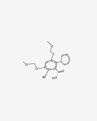 COCOc1cc(OCOC)c(-c2ccccc2)c(C(=O)O)c1Br